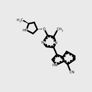 Cc1nc(-c2c[nH]c3c(C#N)cccc23)cnc1O[C@@H]1CN[C@@H](C)C1